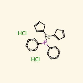 C1=CC[C]([Fe]([C]2=CC=CC2)[P](c2ccccc2)c2ccccc2)=C1.Cl.Cl